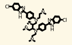 CN(C)CCN(CC(C(CN(C)C)N(CCN(C)C)c1ccc(-c2nc3ccc(Cl)cc3[nH]2)cc1)N(C)C)c1ccc(-c2nc3ccc(Cl)cc3[nH]2)cc1